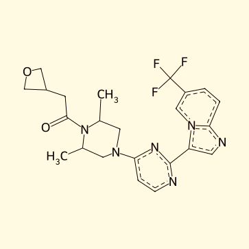 CC1CN(c2ccnc(-c3cnc4ccc(C(F)(F)F)cn34)n2)CC(C)N1C(=O)CC1COC1